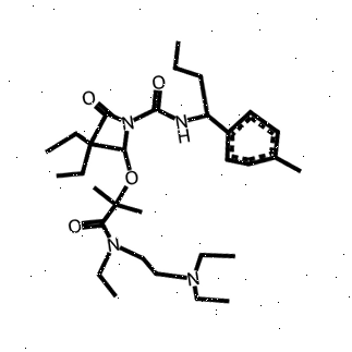 CCCC(NC(=O)N1C(=O)C(CC)(CC)C1OC(C)(C)C(=O)N(CC)CCN(CC)CC)c1ccc(C)cc1